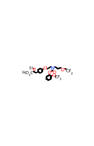 CCOC(Cc1ccc(OCCN(CCCOCC(F)(F)F)C(=O)Oc2ccccc2OC(F)(F)F)cc1)C(=O)O